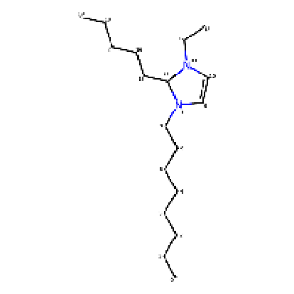 CCCCCCCCN1C=CN(CC)C1CCCCC